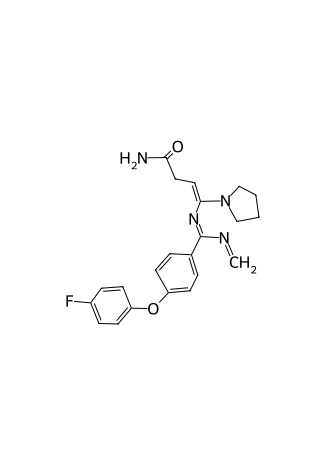 C=N/C(=N\C(=C/CC(N)=O)N1CCCC1)c1ccc(Oc2ccc(F)cc2)cc1